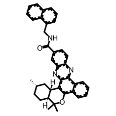 C[C@H]1CC[C@H]2[C@H](C1)c1c(c3ccccc3c3nc4ccc(C(=O)NCc5cccc6ccccc56)cc4nc13)OC2(C)C